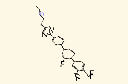 C/C=C/CCc1cnc(C2=CCC(C3C=C(F)C(C4C=C(F)C(CF)=CC4)CC3)C=C2)nc1